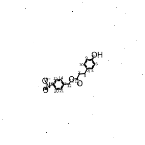 O=C(CCc1ccc(O)cc1)OCc1ccc([N+](=O)[O-])cc1